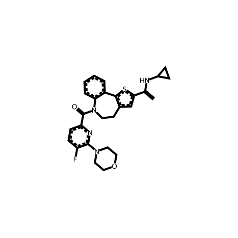 C=C(NC1CC1)c1cc2c(s1)-c1ccccc1N(C(=O)c1ccc(F)c(N3CCOCC3)n1)CC2